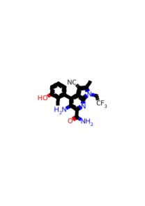 Cc1c(O)cccc1-c1c(N)c(C(N)=O)nc2c1c(C#N)c(C)n2CC(F)(F)F